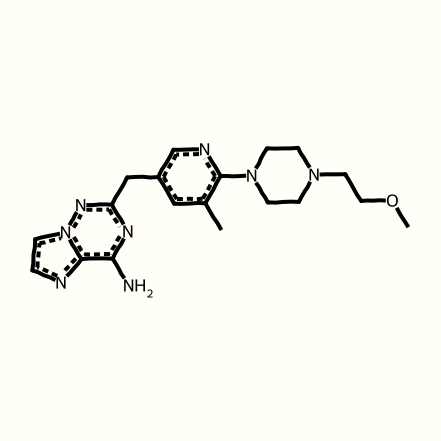 COCCN1CCN(c2ncc(Cc3nc(N)c4nccn4n3)cc2C)CC1